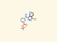 CC(C)(C)OC(=O)N1CCCC(Nc2nnc(Cl)c3ccncc23)C1